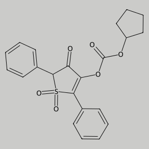 O=C(OC1=C(c2ccccc2)S(=O)(=O)C(c2ccccc2)C1=O)OC1CCCC1